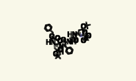 CC(C)(C)OC(=O)C[C@@H](/C=C/S(C)(=O)=O)NC(=O)CNC(=O)[C@@H](NC(=O)[C@H](CC(=O)OC(C)(C)C)NC(=O)OCc1ccccc1)c1ccccc1